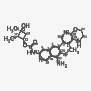 Cc1c(-c2cc3cc(NC(=O)O[C@@H]4C[C@](C)(O)[C@@H]4C)ncc3c(N)c2F)cnc2c1NCCO2